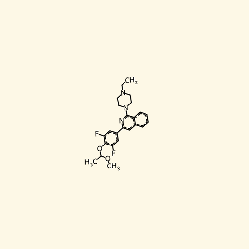 CCN1CCN(c2nc(-c3cc(F)c(OC(C)OC)c(F)c3)cc3ccccc23)CC1